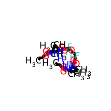 CCCCOC(=O)NCC1(C)CC(NC(=O)OCC(F)(F)CCOC(F)(F)COC(=O)NC2CC(C)(C)CC(C)(CNC(=O)OCCCC)C2)CC(C)(C)C1